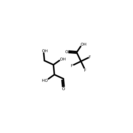 O=C(O)C(F)(F)F.O=CC(O)C(O)CO